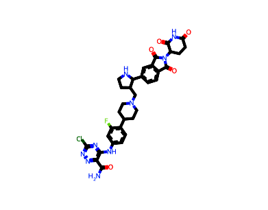 NC(=O)c1nnc(Cl)nc1Nc1ccc(C2CCN(CC3CCNC3c3ccc4c(c3)C(=O)N(C3CCC(=O)NC3=O)C4=O)CC2)c(F)c1